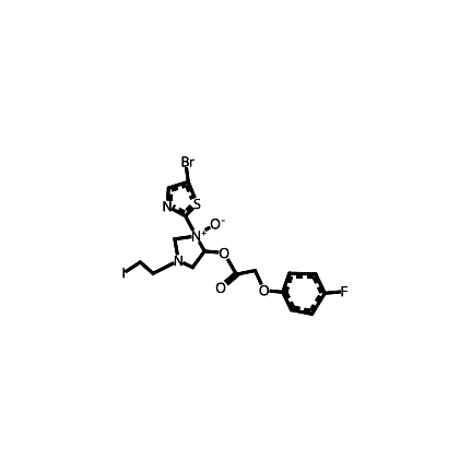 O=C(COc1ccc(F)cc1)OC1CN(CCI)C[N+]1([O-])c1ncc(Br)s1